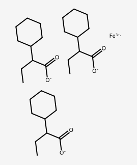 CCC(C(=O)[O-])C1CCCCC1.CCC(C(=O)[O-])C1CCCCC1.CCC(C(=O)[O-])C1CCCCC1.[Fe+3]